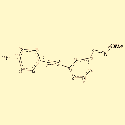 CON=Cc1cncc(C#Cc2ccc(F)cc2)c1